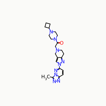 Cc1nnc2ccc(-n3cc4c(n3)CCN(CC(=O)N3CCN(C5CCC5)CC3)C4)nn12